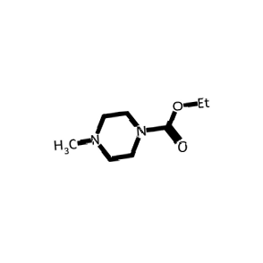 CCOC(=O)N1CCN(C)CC1